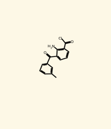 Cc1cccc(C(=O)c2cccc(C(=O)Cl)c2N)c1